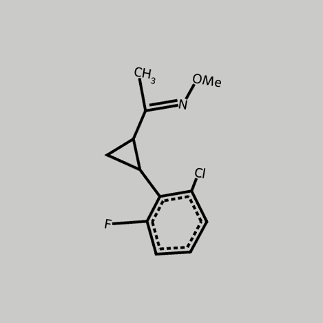 CON=C(C)C1CC1c1c(F)cccc1Cl